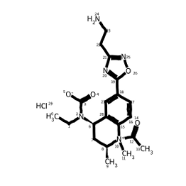 CCN(C(=O)[O-])[C@@H]1C[C@H](C)[N+](C)(C(C)=O)c2ccc(-c3nc(CCN)no3)cc21.Cl